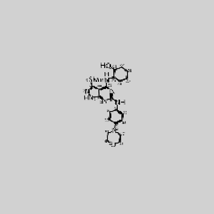 CSc1n[nH]c2nc(Nc3ccc(N4CCOCC4)cc3)nc(NC3CCCCC3O)c12